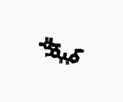 COc1cccc(NC(=O)Nc2cc(O)c(N3CC(=O)NS3(=O)=O)c(F)c2)c1